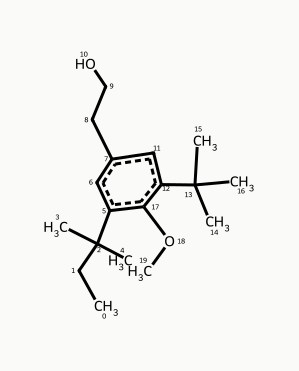 CCC(C)(C)c1cc(CCO)cc(C(C)(C)C)c1OC